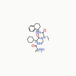 CCN(C(=O)[C@@H](NC(=O)[C@H](C)NC)C1CCCCC1)[C@@H](CI)C(=O)N[C@@H]1CCCc2ccccc21